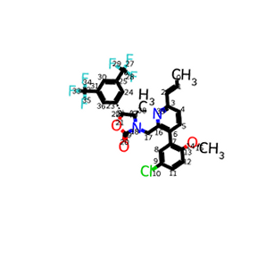 CC=Cc1ccc(-c2cc(Cl)ccc2OC)c(CN2C(=O)O[C@H](c3cc(C(F)(F)F)cc(C(F)(F)F)c3)[C@@H]2C)n1